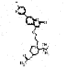 CC(C)(C)C1CC(OC(N)=O)CCN1CCCOc1cc(=O)oc2cc(-c3ccc(F)nc3)ccc12